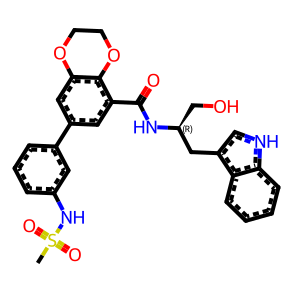 CS(=O)(=O)Nc1cccc(-c2cc3c(c(C(=O)N[C@@H](CO)Cc4c[nH]c5ccccc45)c2)OCCO3)c1